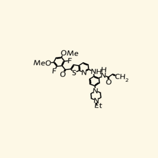 C=CC(=O)Nc1cc(N2CCN(CC)CC2)ccc1Nc1ccc2cc(C(=O)c3c(F)c(OC)cc(OC)c3F)sc2n1